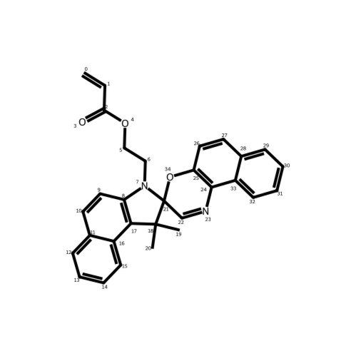 C=CC(=O)OCCN1c2ccc3ccccc3c2C(C)(C)C12C=Nc1c(ccc3ccccc13)O2